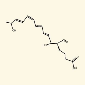 C[C@H](O)/C=C/C=C\C=C\C=C\C(O)[C@H](CCCC(=O)O)N=O